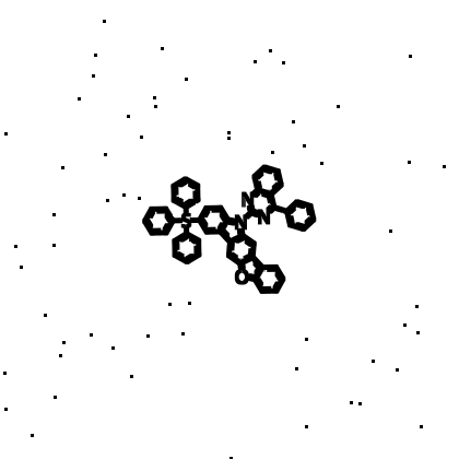 c1ccc(-c2nc(-n3c4ccc(S(c5ccccc5)(c5ccccc5)c5ccccc5)cc4c4cc5oc6ccccc6c5cc43)nc3ccccc23)cc1